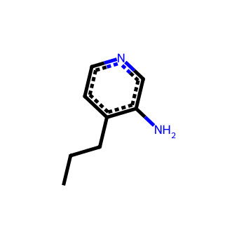 CCCc1ccncc1N